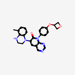 Cc1cccc2c1NCCN2c1cc2cncnc2n(-c2ccc(OC3COC3)cc2)c1=O